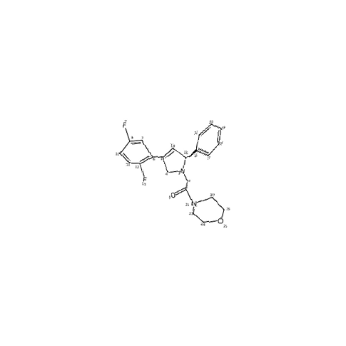 O=C(CN1CC(c2cc(F)ccc2F)=C[C@H]1c1ccccc1)N1CCOCC1